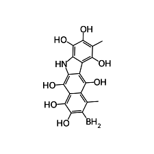 Bc1c(O)c(O)c2c(O)c3[nH]c4c(O)c(O)c(C)c(O)c4c3c(O)c2c1C